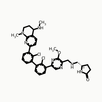 CNC1CCN(C)c2nc(-c3cccc(-c4cccc(-c5cnc(CNC[C@@H]6CCC(=O)N6)c(OC)n5)c4Cl)c3Cl)ccc21